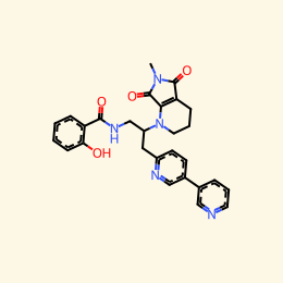 CN1C(=O)C2=C(C1=O)N(C(CNC(=O)c1ccccc1O)Cc1ccc(-c3cccnc3)cn1)CCC2